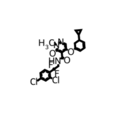 Cn1ncc(OC2=CC=CC(C3CC3)C2)c(C(=O)NCC(F)(F)c2ccc(Cl)cc2Cl)c1=O